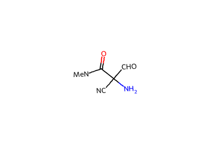 CNC(=O)C(N)(C#N)C=O